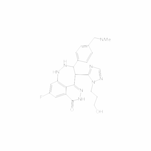 CNCc1ccc(C2NNc3cc(F)cc4c(=O)[nH]nc(c34)C2c2ncnn2CCCO)cc1